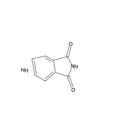 O=C1NC(=O)c2ccccc21.[HH]